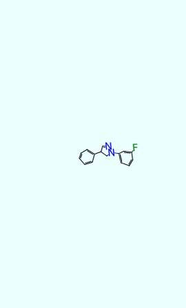 Fc1cccc(N2CC(c3ccccc3)C=N2)c1